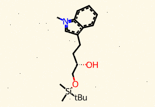 Cn1cc(CC[C@H](O)CO[Si](C)(C)C(C)(C)C)c2ccccc21